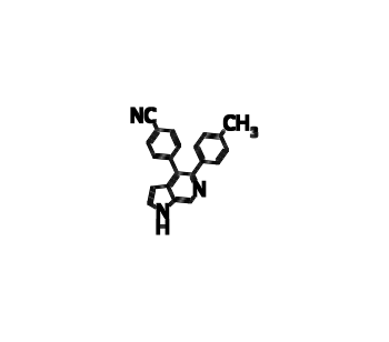 Cc1ccc(-c2ncc3[nH]ccc3c2-c2ccc(C#N)cc2)cc1